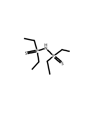 CCP(=S)(CC)NP(=S)(CC)CC